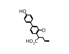 C=CCC(C(=O)O)c1ccc(-c2ccc(O)cc2)cc1Cl